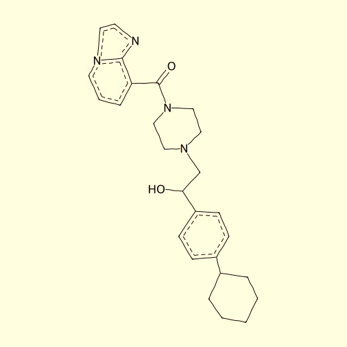 O=C(c1cccn2ccnc12)N1CCN(CC(O)c2ccc(C3CCCCC3)cc2)CC1